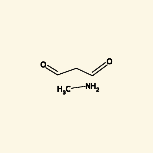 CN.O=CCC=O